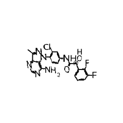 Cc1nn(-c2ccc(NC(=O)[C@H](O)c3cccc(F)c3F)cc2Cl)c2c(N)ncnc12